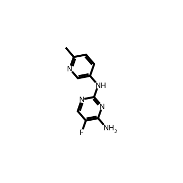 Cc1ccc(Nc2ncc(F)c(N)n2)cn1